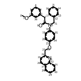 COc1cccc(CC(=O)N(Cc2ccccc2)c2ccc(OCc3ccc4ccccc4n3)cc2)c1